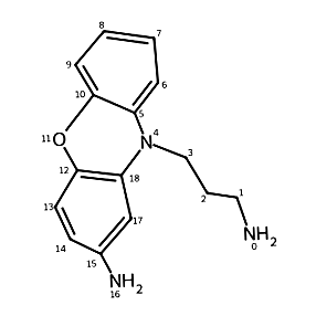 NCCCN1c2ccccc2Oc2ccc(N)cc21